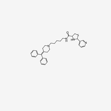 O=C(NCCCCCN1CCC(=C(c2ccccc2)c2ccccc2)CC1)C1CSC(c2cccnc2)N1